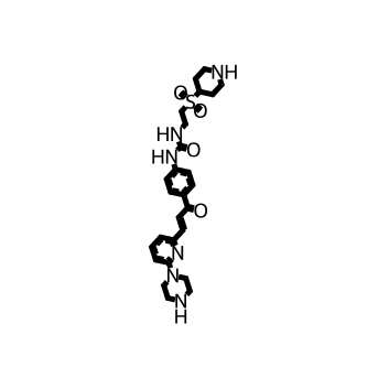 O=C(NCCS(=O)(=O)C1CCNCC1)Nc1ccc(C(=O)C=Cc2cccc(N3CCNCC3)n2)cc1